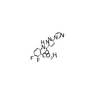 O=C(Nc1ccc(F)c(F)c1C(=O)O)c1ccc(-n2ccnc2)nn1